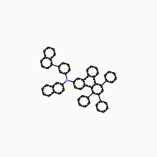 c1ccc(-c2cc(-c3ccccc3)c3c4ccccc4c4cc(N(c5cccc(-c6cccc7ccccc67)c5)c5ccc6ccccc6c5)ccc4c3c2-c2ccccc2)cc1